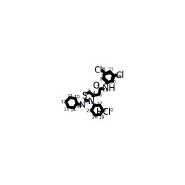 Cl.O=C(CC1CS/C(=N\C2CCCCC2)N1C1CCCCC1)Nc1cc(Cl)cc(Cl)c1